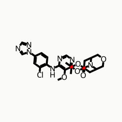 COc1c(Nc2ccc(-n3cncn3)cc2Cl)ncnc1OC1CC2COCC(C1)N2C(=O)OC(C)C